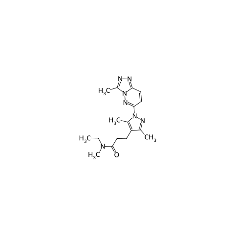 CCN(C)C(=O)CCc1c(C)nn(-c2ccc3nnc(C)n3n2)c1C